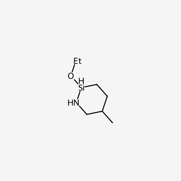 CCO[SiH]1CCC(C)CN1